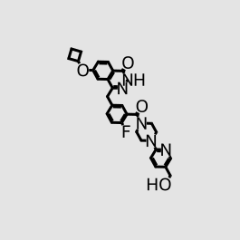 O=C(c1cc(Cc2n[nH]c(=O)c3ccc(OC4CCC4)cc23)ccc1F)N1CCN(c2ccc(CO)cn2)CC1